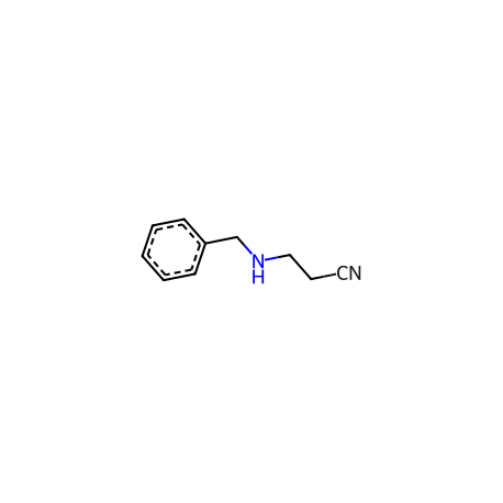 N#CCCNCc1ccccc1